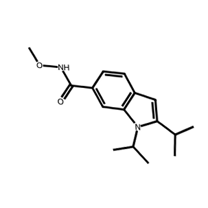 CONC(=O)c1ccc2cc(C(C)C)n(C(C)C)c2c1